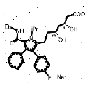 CCNC(=O)c1c(-c2ccccc2)c(-c2ccc(F)cc2)c(CC[C@@H](O)C[C@@H](O)CC(=O)[O-])n1C(C)C.[Na+]